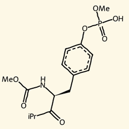 COC(=O)N[C@@H](Cc1ccc(OP(=O)(O)OC)cc1)C(=O)C(C)C